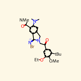 CCOc1cc(C(=O)CN2Cc3cc(N(C)C)c(C(=O)NC)cc3/C2=N/Br)cc(C(C)(C)C)c1OC